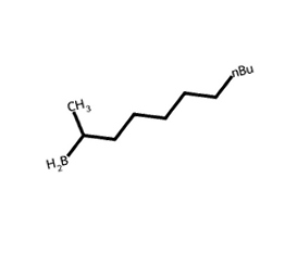 BC(C)CCCCCCCCC